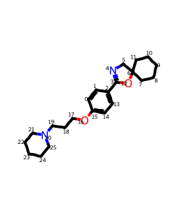 c1cc(C2=NCC3(CCCCC3)O2)ccc1OCCCN1CCCCC1